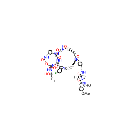 COc1ccc(C[C@H](NC=O)C(=O)N2CCC[C@@]2(C)C(=O)NCCc2ccc(CN3CCCCCCn4cc(c5cc(F)ccc54)C[C@@H]4NC(=O)[C@H](Cc5cccc(c5)CNC(=O)COC5CCN(C4=O)[C@@H]5C(=O)NC[C@@H](C)O)NC(=O)CNC(=O)CCCCCC3=O)cc2)cc1